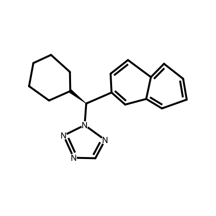 c1ccc2cc([C@H](C3CCCCC3)n3ncnn3)ccc2c1